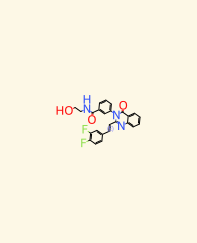 O=C(NCCO)c1cccc(-n2c(/C=C/c3ccc(F)c(F)c3)nc3ccccc3c2=O)c1